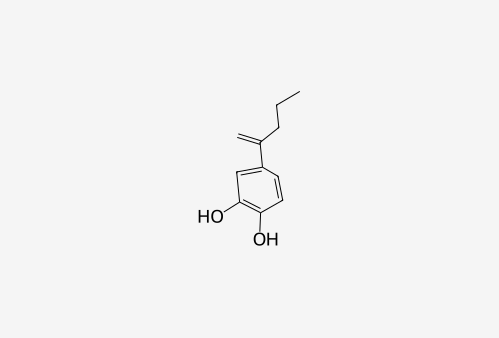 C=C(CCC)c1ccc(O)c(O)c1